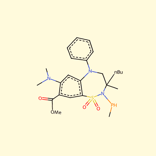 CCCCC1(C)CN(c2ccccc2)c2cc(N(C)C)c(C(=O)OC)cc2S(=O)(=O)N1PC